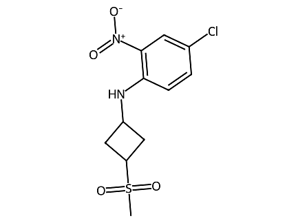 CS(=O)(=O)C1CC(Nc2ccc(Cl)cc2[N+](=O)[O-])C1